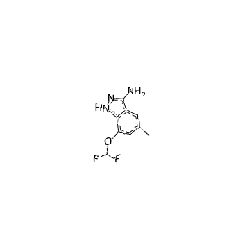 Cc1cc(OC(F)F)c2[nH]nc(N)c2c1